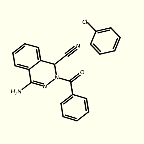 Clc1ccccc1.N#CC1c2ccccc2C(N)=NN1C(=O)c1ccccc1